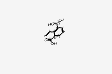 C=Cc1c(B(O)O)cccc1C(=O)O